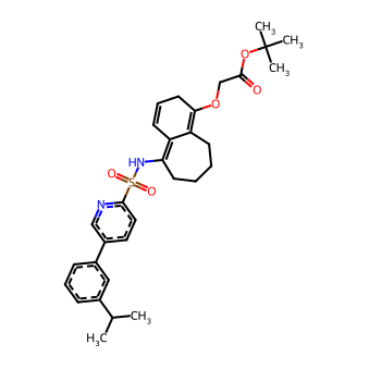 CC(C)c1cccc(-c2ccc(S(=O)(=O)NC3=C4C=CCC(OCC(=O)OC(C)(C)C)=C4CCCC3)nc2)c1